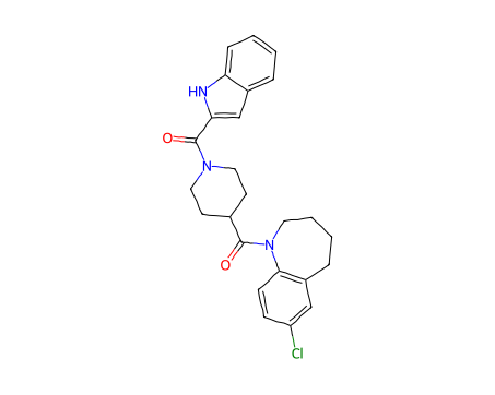 O=C(c1cc2ccccc2[nH]1)N1CCC(C(=O)N2CCCCc3cc(Cl)ccc32)CC1